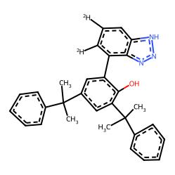 [2H]c1cc2[nH]nnc2c(-c2cc(C(C)(C)c3ccccc3)cc(C(C)(C)c3ccccc3)c2O)c1[2H]